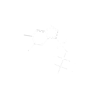 CC(C)(C)[Si](C)(C)NS(=O)(=O)c1c[nH]c2cc(Cl)c(Br)cc12